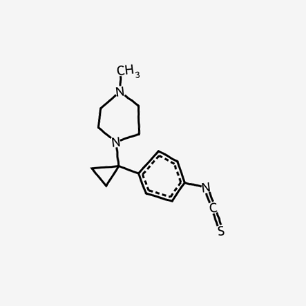 CN1CCN(C2(c3ccc(N=C=S)cc3)CC2)CC1